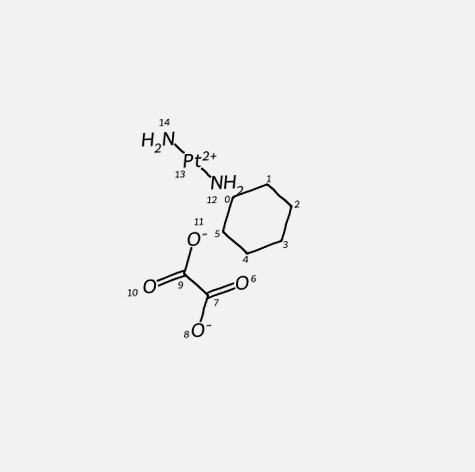 C1CCCCC1.O=C([O-])C(=O)[O-].[NH2][Pt+2][NH2]